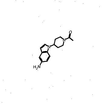 CC(=O)N1CCC(n2ccc3cc(N)ccc32)CC1